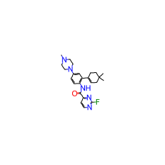 CN1CCN(c2ccc(NC(=O)c3ccnc(F)n3)c(C3=CCC(C)(C)CC3)c2)CC1